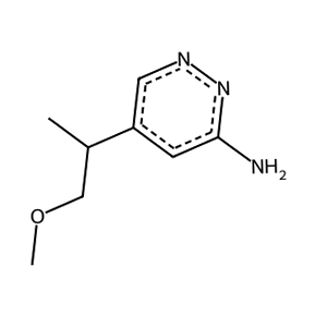 COCC(C)c1cnnc(N)c1